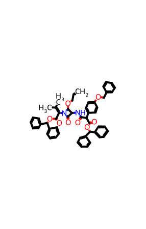 C=CCOC1C(NC(=O)C(C(=O)OC(c2ccccc2)c2ccccc2)c2ccc(OCc3ccccc3)cc2)C(=O)N1C(C(=O)OC(c1ccccc1)c1ccccc1)=C(C)C